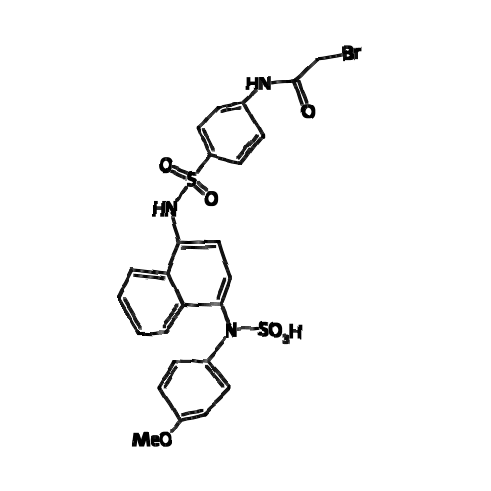 COc1ccc(N(c2ccc(NS(=O)(=O)c3ccc(NC(=O)CBr)cc3)c3ccccc23)S(=O)(=O)O)cc1